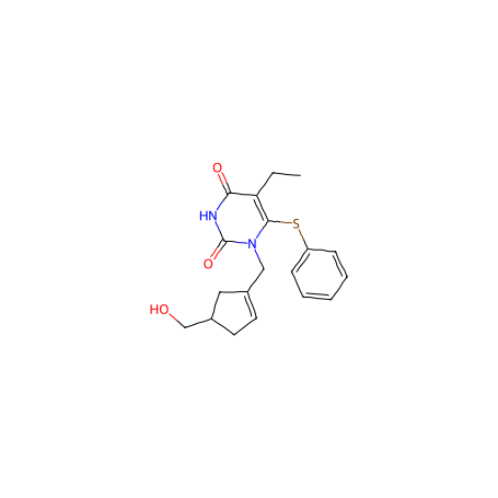 CCc1c(Sc2ccccc2)n(CC2=CCC(CO)C2)c(=O)[nH]c1=O